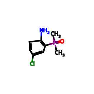 CP(C)(=O)c1cc(Cl)ccc1N